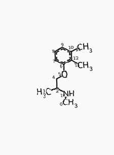 CNC(C)COc1cccc(C)c1C